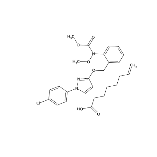 C=CCCCCCC(=O)O.COC(=O)N(OC)c1ccccc1COc1ccn(-c2ccc(Cl)cc2)n1